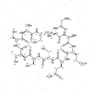 CC[C@H](C)[C@H](NC(=O)CN)C(=O)N[C@H](C(=O)N[C@@H](CCC(=O)O)C(=O)N[C@@H](CCC(N)=O)C(=O)N[C@@H](CS)C(=O)N[C@@H](CS)C(=O)N[C@H](C(=O)N[C@@H](CO)C(=O)N[C@H](C(=O)N[C@@H](CS)C(=O)O)[C@@H](C)CC)[C@@H](C)O)C(C)C